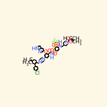 CC1(C)CCC(CN2CCN(c3ccc(C(=O)NS(=O)(=O)c4ccc(NCC5CCN(C(=O)OC(C)(C)C)CC5)c(S(=O)(=O)C(F)(F)F)c4)c(Oc4cnc5[nH]ccc5c4)c3)CC2)=C(c2ccc(Cl)cc2)C1